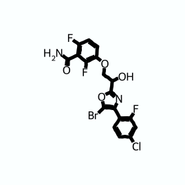 NC(=O)c1c(F)ccc(OCC(O)c2nc(-c3ccc(Cl)cc3F)c(Br)o2)c1F